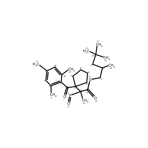 Cc1cc(C)c(C(=O)C2(C(C)(P=O)C(=O)OCC(C)CC(C)(C)C)CCCC2)c(C)c1